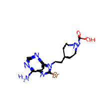 Nc1ncnc2c1nc(Br)n2CCC1CCN(C(=O)O)CC1